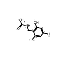 CC(=O)NCc1c(O)cc(Cl)cc1Cl